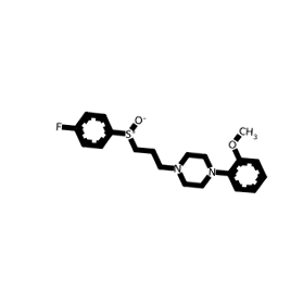 COc1ccccc1N1CCN(CCC[S+]([O-])c2ccc(F)cc2)CC1